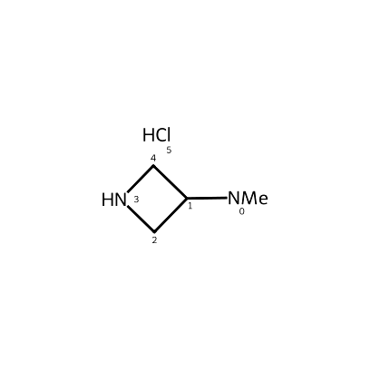 CNC1CNC1.Cl